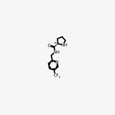 O=C(NCc1ccc(C(F)(F)F)cn1)[C@H]1CCCN1